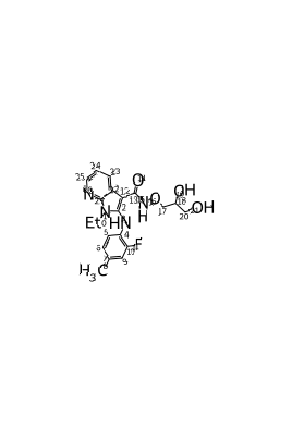 CCn1c(Nc2ccc(C)cc2F)c(C(=O)NOCC(O)CO)c2cccnc21